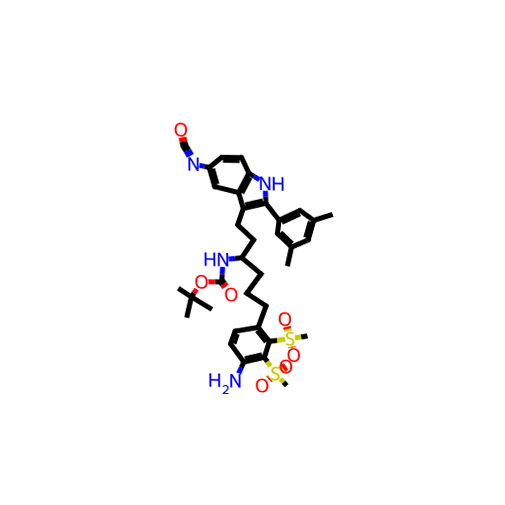 Cc1cc(C)cc(-c2[nH]c3ccc(N=C=O)cc3c2CCC(CCCc2ccc(N)c(S(C)(=O)=O)c2S(C)(=O)=O)NC(=O)OC(C)(C)C)c1